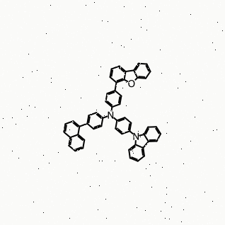 c1ccc2c(-c3ccc(N(c4ccc(-c5cccc6c5oc5ccccc56)cc4)c4ccc(-n5c6ccccc6c6ccccc65)cc4)cc3)cccc2c1